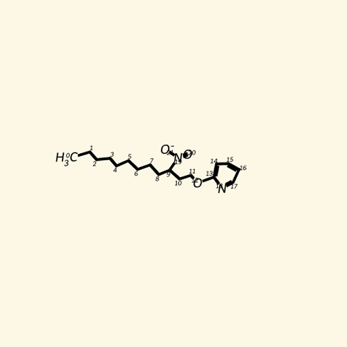 CCCCCCCCCC(CCOc1ccccn1)[N+](=O)[O-]